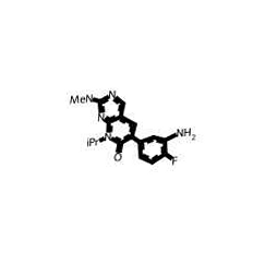 CNc1ncc2cc(-c3ccc(F)c(N)c3)c(=O)n(C(C)C)c2n1